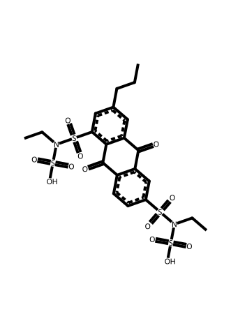 CCCc1cc2c(c(S(=O)(=O)N(CC)S(=O)(=O)O)c1)C(=O)c1ccc(S(=O)(=O)N(CC)S(=O)(=O)O)cc1C2=O